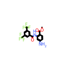 COC(=O)c1ccc(N)cc1NC(=O)c1cc(C(F)(F)F)cc(C(F)(F)F)c1